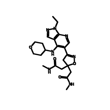 CCn1ncc2c(NC3CCOCC3)c(C3=NOC(CC(=O)NC)(CC(=O)NC)C3)cnc21